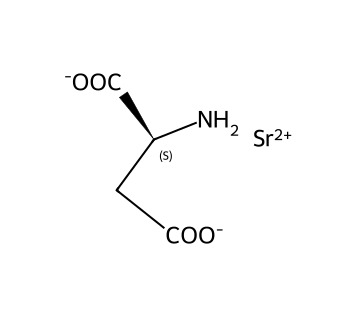 N[C@@H](CC(=O)[O-])C(=O)[O-].[Sr+2]